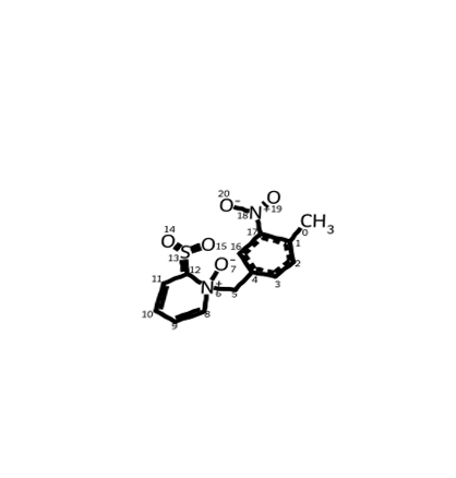 Cc1ccc(C[N+]2([O-])C=CC=CC2=S(=O)=O)cc1[N+](=O)[O-]